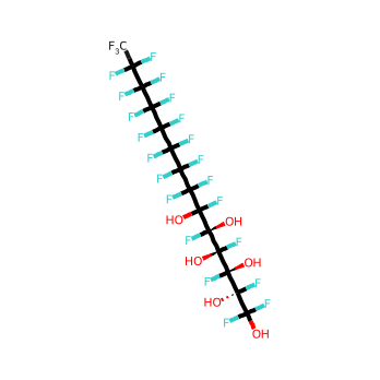 OC(F)(F)[C@](O)(F)[C@](O)(F)[C@@](O)(F)[C@](O)(F)C(O)(F)C(F)(F)C(F)(F)C(F)(F)C(F)(F)C(F)(F)C(F)(F)C(F)(F)C(F)(F)F